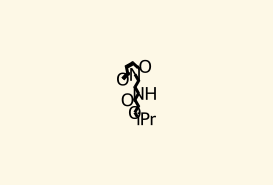 CC(C)OCC(=O)NCCN1C(=O)C=CC1=O